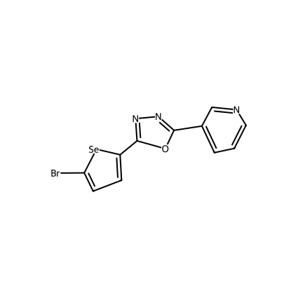 Brc1ccc(-c2nnc(-c3cccnc3)o2)[se]1